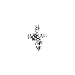 CCOC(=O)c1c(CCc2ccc(F)cc2)nc2c(c1-c1ccc(C(=O)NCc3ccco3)cc1)C(=O)N[C@H]2CC